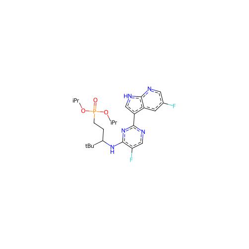 CC(C)OP(=O)(CCC(Nc1nc(-c2c[nH]c3ncc(F)cc23)ncc1F)C(C)(C)C)OC(C)C